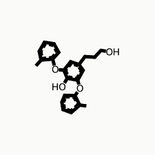 Cc1ccccc1Oc1cc(CCCO)cc(Oc2ccccc2C)c1O